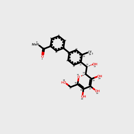 CNC(=O)c1cccc(-c2ccc([C@H](O)[C@H]3OC(CO)=C(O)C(O)=C3O)c(C(F)(F)F)c2)c1